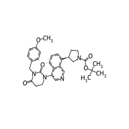 COc1ccc(CN2C(=O)CCN(c3cncc4c([C@H]5CCN(C(=O)OC(C)(C)C)C5)cccc34)C2=O)cc1